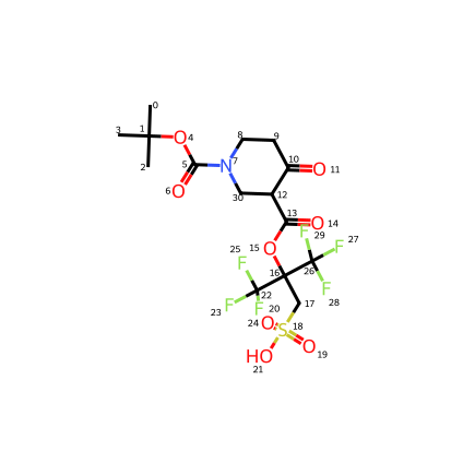 CC(C)(C)OC(=O)N1CCC(=O)C(C(=O)OC(CS(=O)(=O)O)(C(F)(F)F)C(F)(F)F)C1